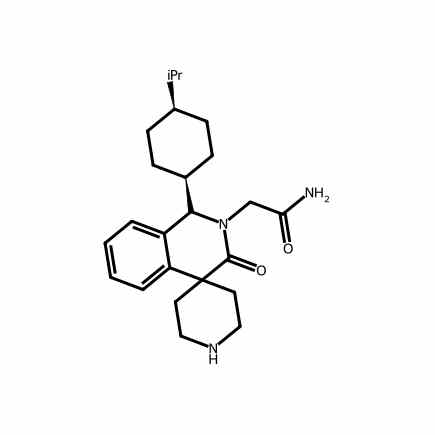 CC(C)[C@H]1CC[C@@H](C2c3ccccc3C3(CCNCC3)C(=O)N2CC(N)=O)CC1